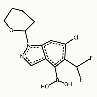 OB(O)c1c(C(F)F)c(Cl)cc2c1cnn2C1CCCCO1